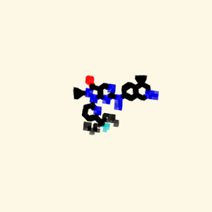 CC(C)(F)c1cccc(-n2c3nc(Nc4ccc5c(c4)CNCC54CC4)ncc3c(=O)n2C2CC2)n1